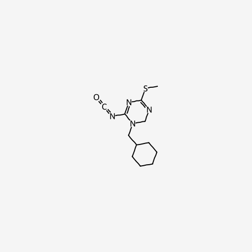 CSC1=NCN(CC2CCCCC2)C(N=C=O)=N1